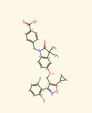 CC1(C)C(=O)N(Cc2ccc(C(=O)O)cc2)c2ccc(OCc3c(-c4c(Cl)cccc4Cl)noc3C3CC3)cc21